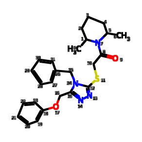 CC1CCCC(C)N1C(=O)CSc1nnc(COc2ccccc2)n1Cc1ccccc1